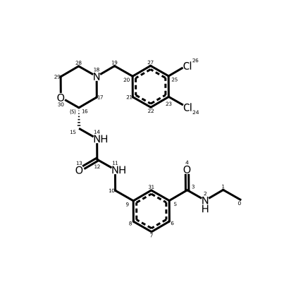 CCNC(=O)c1cccc(CNC(=O)NC[C@H]2CN(Cc3ccc(Cl)c(Cl)c3)CCO2)c1